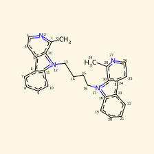 Cc1nccc2c3ccccc3n(CCCCn3c4ccccc4c4ccnc(C)c43)c12